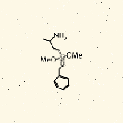 CO[Si](CCC(C)N)(OC)OCc1ccccc1